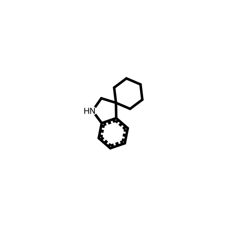 c1ccc2c(c1)NCC21CCCCC1